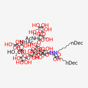 CCCCCCCCCCCCC/C=C/[C@@H](O)[C@H](CO[C@@H]1OC(CO)[C@@H](O[C@@H]2OC(CO[C@@H]3OC(CO)[C@@H](O[C@@H]4OC(CO)[C@H](O)[C@H](O)C4O)[C@H](O)C3NC(C)=O)[C@H](O)[C@H](O[C@@H]3OC(CO)[C@@H](O[C@@H]4OC(CO[C@]5(C(=O)O)CC(O)[C@@H](NC(C)=O)C([C@H](O)[C@H](O)CO)O5)[C@H](O)[C@H](O)C4O)[C@H](O)C3NC(C)=O)C2O)[C@H](O)C1O)NC(=O)CCCCCCCCCCCCCCCCC